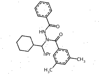 CCCC(C1CCCCC1)N(NC(=O)c1ccccc1)C(=O)c1cc(C)cc(C)c1